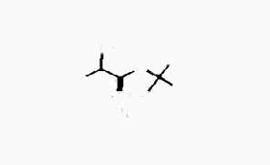 CCCCC(CC)C(=O)OC(CCCC)(CCCC)CCCC.N